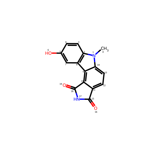 Cn1c2ccc(O)cc2c2c3c(ccc21)C(=O)NC3=O